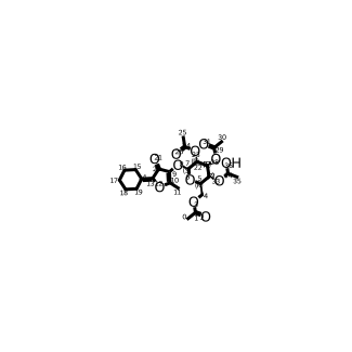 CC(=O)OC[C@H]1O[C@@H](OC2=C(C)OC(=C3CCCCC3)C2=O)[C@H](OC(C)=O)[C@@H](OC(C)=O)[C@@H]1OC(C)O